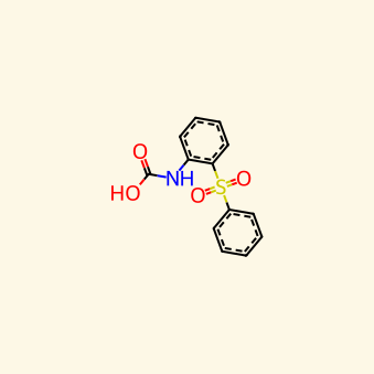 O=C(O)Nc1ccccc1S(=O)(=O)c1ccccc1